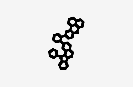 c1ccc(-n2c3ccccc3c3ccc4ccc(-c5ccccc5-c5ccc6c(c5)-c5cccc7cccc(c57)S6)cc4c32)cc1